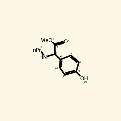 CCCNC(C(=O)OC)c1ccc(O)cc1